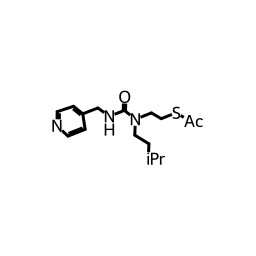 CC(=O)SCCN(CCC(C)C)C(=O)NCc1ccncc1